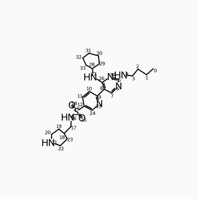 CCCCNc1ncc(-c2ccc(S(=O)(=O)NCC3CCNCC3)cn2)c(NC2CCCCC2)n1